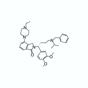 CCN1CCN(c2cccc3c2CN([C@H](CCCN(Cc2ccccc2)C(C)C)c2ccc(OC)c(OC)c2)C3=O)CC1